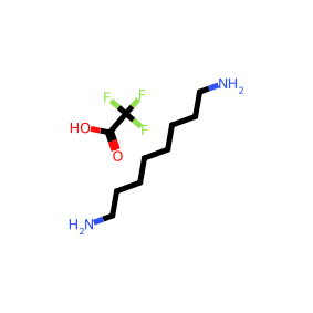 NCCCCCCCCN.O=C(O)C(F)(F)F